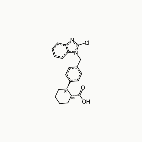 O=C(O)[C@@H]1CCCC[C@H]1c1ccc(Cn2c(Cl)nc3ccccc32)cc1